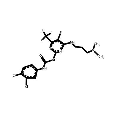 CN(C)CCCNc1nc(NC(=O)Nc2ccc(Cl)c(Cl)c2)nc(C(F)(F)F)c1F